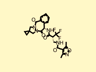 Cc1noc(C)c1C(=O)NC[C@H](C(=O)N[C@@H]1C(=O)N2CC3(CC3)CN2C(=O)c2ccccc21)C(F)(F)F